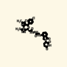 Cc1sc2c(c1C)C(c1ccc(Cl)cc1)=N[C@@H](CC(=O)NNC(=O)CNc1cccc3c1CN(C1CCC(=O)NC1=O)C3=O)c1nnc(C)n1-2